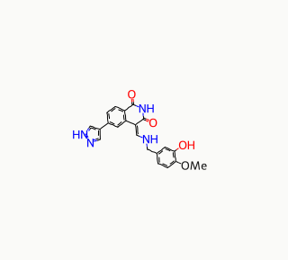 COc1ccc(CN/C=C2\C(=O)NC(=O)c3ccc(-c4cn[nH]c4)cc32)cc1O